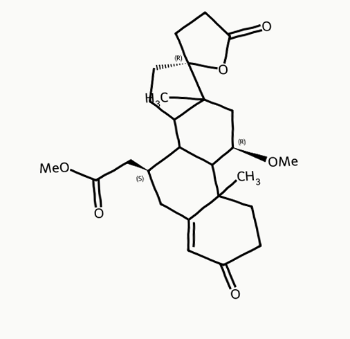 COC(=O)C[C@@H]1CC2=CC(=O)CCC2(C)C2C1C1CC[C@@]3(CCC(=O)O3)C1(C)C[C@H]2OC